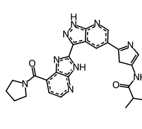 CC(C)C(=O)NC1=CN=C(c2cnc3[nH]nc(-c4nc5c(C(=O)N6CCCC6)ccnc5[nH]4)c3c2)C1